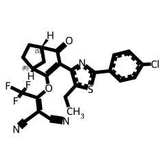 CCc1sc(-c2ccc(Cl)cc2)nc1C1=C(OC(=C(C#N)C#N)C(F)(F)F)[C@@H]2CC[C@@H](C2)C1=O